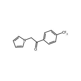 O=C(Cn1cccc1)c1ccc(C(F)(F)F)cc1